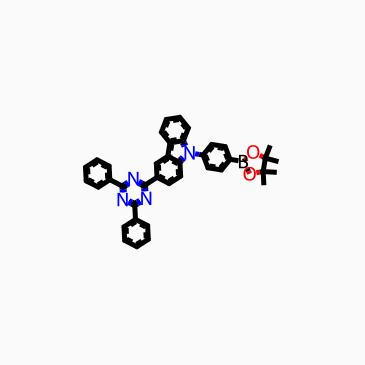 CC1(C)OB(c2ccc(-n3c4ccccc4c4cc(-c5nc(-c6ccccc6)nc(-c6ccccc6)n5)ccc43)cc2)OC1(C)C